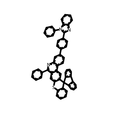 c1ccc(-c2nc3cc(-c4ccc(-c5nc6ccccc6n5-c5ccccc5)cc4)ccc3c3cc4c(cc23)Sc2ccccc2C42c3ccccc3-c3ccccc32)cc1